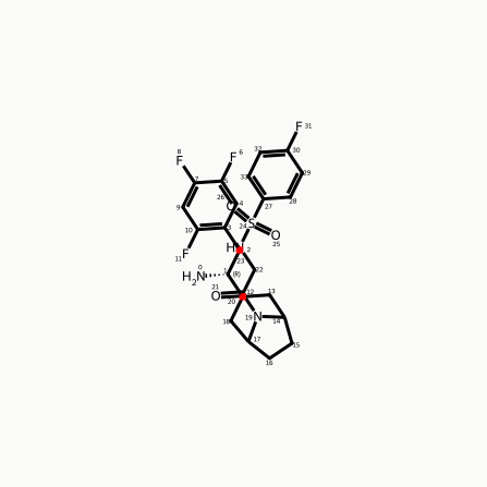 N[C@H](Cc1cc(F)c(F)cc1F)C1CC2CCC(C1)N2C(=O)CNS(=O)(=O)c1ccc(F)cc1